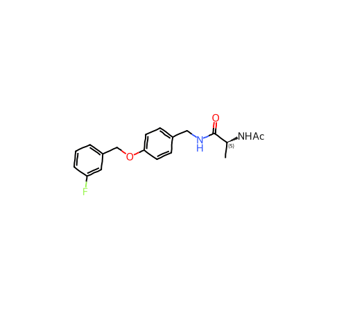 CC(=O)N[C@@H](C)C(=O)NCc1ccc(OCc2cccc(F)c2)cc1